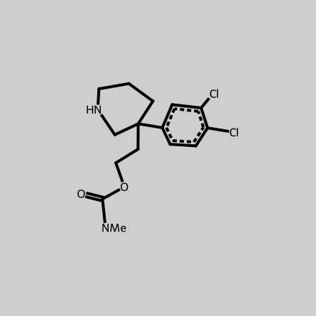 CNC(=O)OCCC1(c2ccc(Cl)c(Cl)c2)CCCNC1